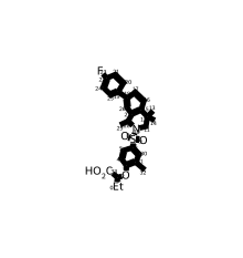 CCC(Oc1ccc(S(=O)(=O)N2CC(C)(C)c3ccc(-c4ccc(F)cc4)cc3C2C)cc1C)C(=O)O